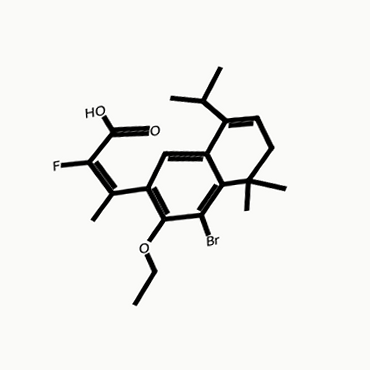 CCOc1c(/C(C)=C(/F)C(=O)O)cc2c(c1Br)C(C)(C)CC=C2C(C)C